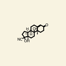 C[C@]12CCC(=O)C=C1CC[C@H]1[C@@H]3CCC(O)(C#N)[C@@]3(C)CCC12O